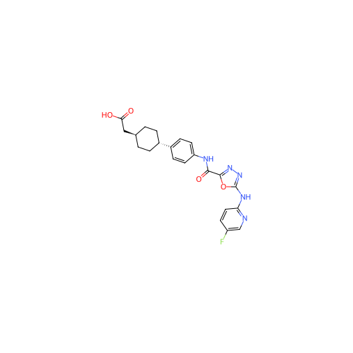 O=C(O)C[C@H]1CC[C@H](c2ccc(NC(=O)c3nnc(Nc4ccc(F)cn4)o3)cc2)CC1